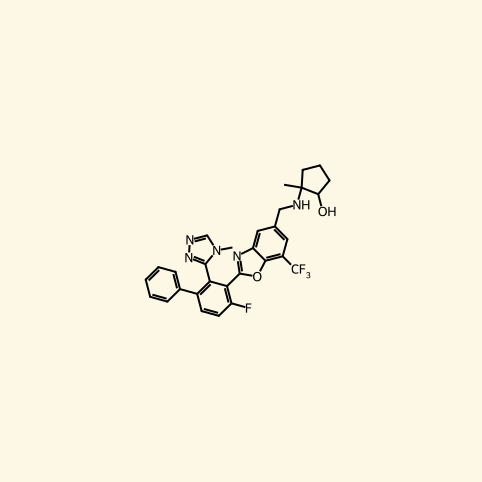 Cn1cnnc1-c1c(-c2ccccc2)ccc(F)c1-c1nc2cc(CNC3(C)CCCC3O)cc(C(F)(F)F)c2o1